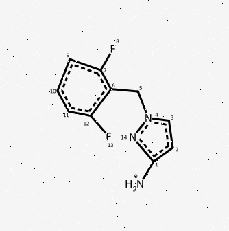 Nc1ccn(Cc2c(F)cccc2F)n1